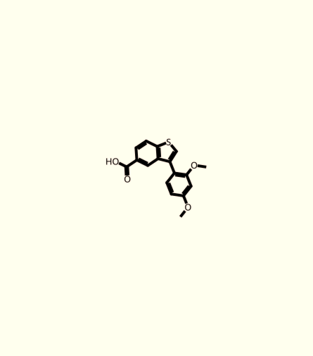 COc1ccc(-c2csc3ccc(C(=O)O)cc23)c(OC)c1